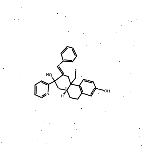 CCC12CC(=Cc3ccccc3)C(O)(c3ccccn3)C[C@H]1CCc1cc(O)ccc12